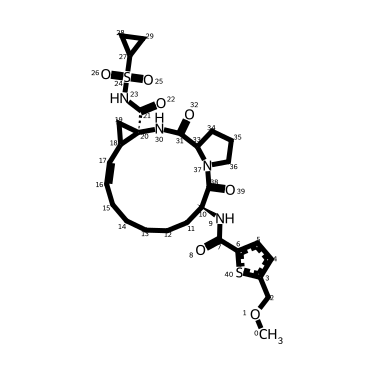 COCc1ccc(C(=O)N[C@H]2CCCCC/C=C\C3C[C@@]3(C(=O)NS(=O)(=O)C3CC3)NC(=O)C3CCCN3C2=O)s1